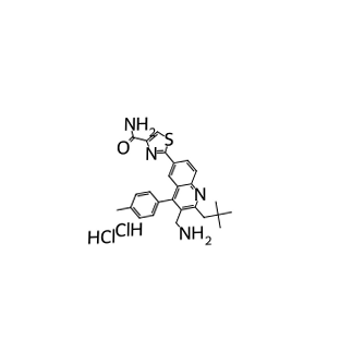 Cc1ccc(-c2c(CN)c(CC(C)(C)C)nc3ccc(-c4nc(C(N)=O)cs4)cc23)cc1.Cl.Cl